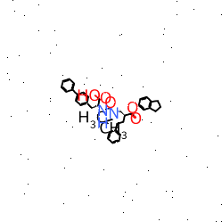 CC(C)CN(C[C@H](CCc1ccccc1)C(=O)Oc1ccc2c(c1)CCC2)C(=O)N[C@@H](Cc1ccc(-c2ccccc2)cc1)C(=O)O